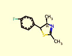 CC1=N[C@H](C)C(c2ccc(F)cc2)S1